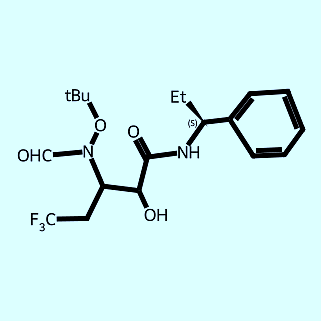 CC[C@H](NC(=O)C(O)C(CC(F)(F)F)N(C=O)OC(C)(C)C)c1ccccc1